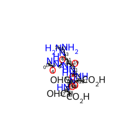 C[C@H](N)C(=O)NCC(=O)N[C@@H](CCCN=C(N)N)C(=O)NCC(=O)N[C@@H](CC(=O)O)C(=O)N[C@@H](C=O)C(=O)N[C@H](C=O)CC(=O)O